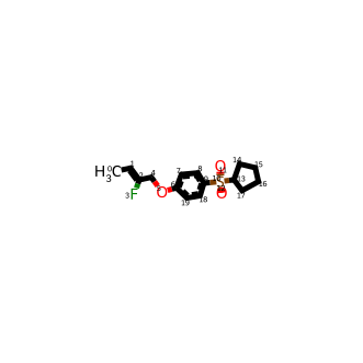 CC=C(F)COc1ccc(S(=O)(=O)C2CCCC2)cc1